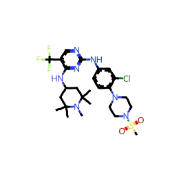 CN1C(C)(C)CC(Nc2nc(Nc3ccc(N4CCN(S(C)(=O)=O)CC4)c(Cl)c3)ncc2C(F)(F)F)CC1(C)C